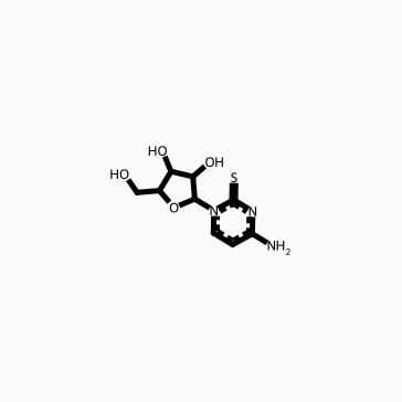 Nc1ccn(C2OC(CO)C(O)C2O)c(=S)n1